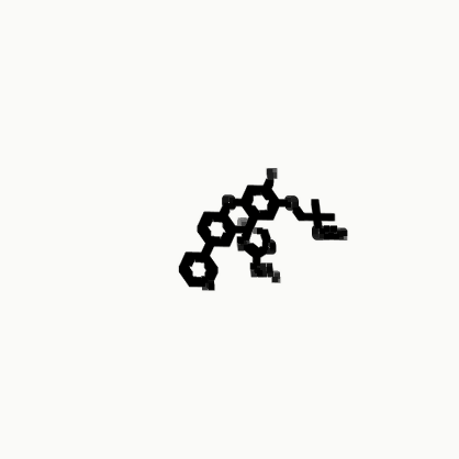 COC(C)(C)COc1cc2c(cc1F)Oc1ccc(-c3cccnc3)cc1[C@@]21COC(N)=N1